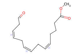 COC(=O)CCC/C=C\C/C=C\C/C=C\CC=O